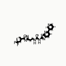 CC(CC(F)(F)F)c1nc(CCNC(=O)Nc2nc3ccc(-c4cccnc4)nc3s2)no1